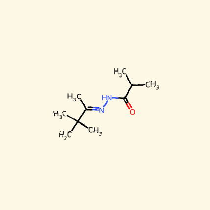 C/C(=N\NC(=O)C(C)C)C(C)(C)C